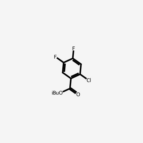 CC(C)COC(=O)c1cc(F)c(F)cc1Cl